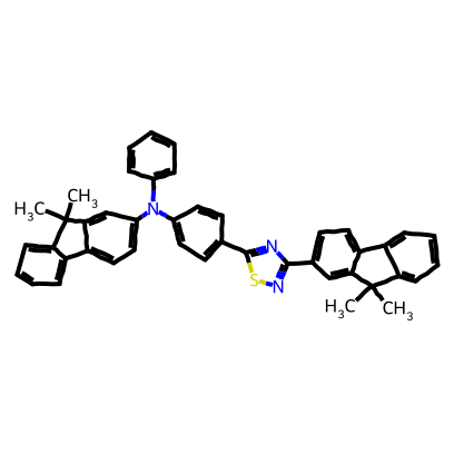 CC1(C)c2ccccc2-c2ccc(-c3nsc(-c4ccc(N(c5ccccc5)c5ccc6c(c5)C(C)(C)c5ccccc5-6)cc4)n3)cc21